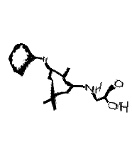 CC1=C(NCC(=O)O)CC(C)(C)CC1=Nc1ccccc1